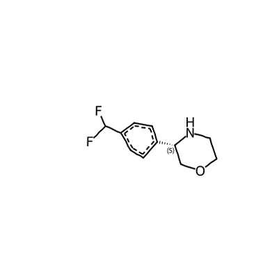 FC(F)c1ccc([C@H]2COCCN2)cc1